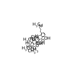 CN(I)CCCc1ccc(O)c2c1C[C@H]1C[C@H]3[C@H](N(C)C)C(O)=C(C(=O)NC(C)(C)C)C(=O)[C@@]3(O)C(O)=C1C2=O